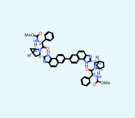 COC(=O)N[C@@H](C(=O)N1[C@@H]2CC[C@@H](C2)[C@H]1c1nc2ccc3cc(-c4ccc5c(ccc6nc([C@@H]7C[C@H]8C[C@H]8N7C(=O)[C@H](NC(=O)OC)c7ccccc7)[nH]c65)c4)ccc3c2[nH]1)c1ccccc1